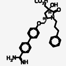 N=C(N)c1ccc(-c2ccc(OC[C@@H]3C[C@@](O)(CC(=O)O)C(=O)N3CCCc3ccccc3)cc2)cc1